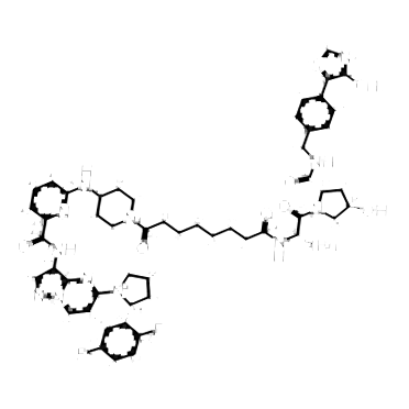 Cc1ncsc1-c1ccc(CNC(=O)[C@@H]2C[C@@H](O)CN2C(=O)[C@@H](NC(=O)CCCCCCC(=O)N2CCC(Nc3cccc(C(=O)Nc4cnn5ccc(N6CCC[C@@H]6c6cc(F)ccc6F)nc45)n3)CC2)C(C)(C)C)cc1